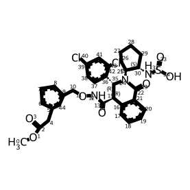 COC(=O)Cc1cccc(CONC(=O)[C@@H]2c3ccccc3C(=O)N([C@H]3CCCC[C@@H]3NS(=O)O)[C@H]2c2ccc(Cl)cc2Cl)c1